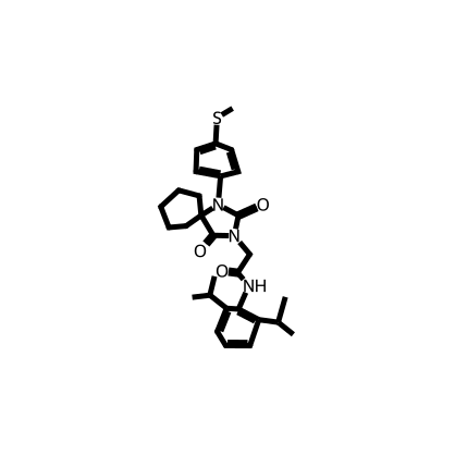 CSc1ccc(N2C(=O)N(CC(=O)Nc3c(C(C)C)cccc3C(C)C)C(=O)C23CCCCC3)cc1